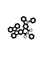 O=c1c2cc3c(cc2c2cc4c5ccccc5n(-c5ccccc5)c4cc2c(=O)n1-c1ccccc1)C1(c2ccccc2-c2ccccc21)c1ccccc1-3